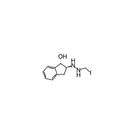 O[C@H]1c2ccccc2C[C@@H]1NNCI